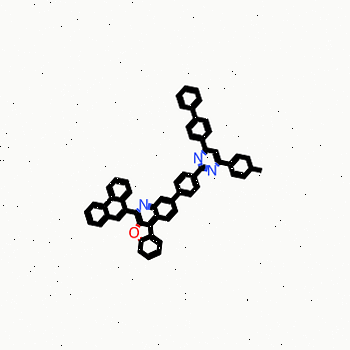 CC1C=CC(c2cc(-c3ccc(-c4ccccc4)cc3)nc(-c3ccc(-c4ccc5c6c(c(-c7cc8ccccc8c8ccccc78)nc5c4)OC4CC=CC=C64)cc3)n2)=CC1